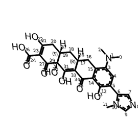 CN(C)c1cc(-c2cncn2C)c(O)c2c1C[C@H]1C[C@H]3CC(O)=C(C(=O)O)C(=O)[C@@]3(O)C(O)=C1C2=O